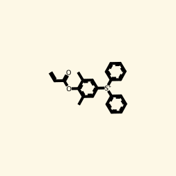 C=CC(=O)Oc1c(C)cc([S+](c2ccccc2)c2ccccc2)cc1C